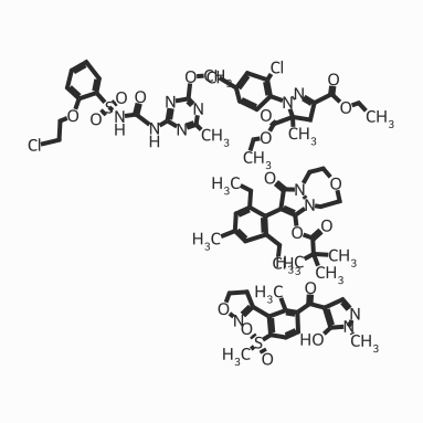 CCOC(=O)C1=NN(c2ccc(Cl)cc2Cl)C(C)(C(=O)OCC)C1.CCc1cc(C)cc(CC)c1-c1c(OC(=O)C(C)(C)C)n2n(c1=O)CCOCC2.COc1nc(C)nc(NC(=O)NS(=O)(=O)c2ccccc2OCCCl)n1.Cc1c(C(=O)c2cnn(C)c2O)ccc(S(C)(=O)=O)c1C1=NOCC1